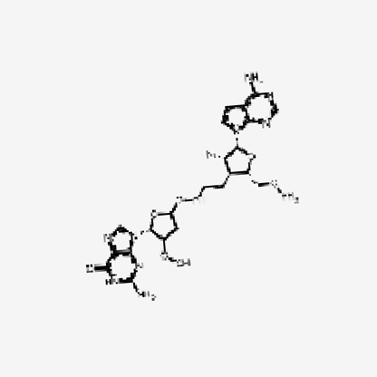 Nc1nc2c(ncn2[C@@H]2OC(OPCC[C@H]3[C@H](F)[C@H](n4ccc5c(N)ncnc54)O[C@@H]3COP)C[C@H]2OO)c(=O)[nH]1